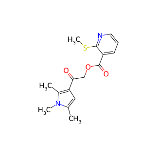 CSc1ncccc1C(=O)OCC(=O)c1cc(C)n(C)c1C